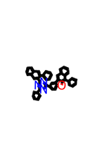 c1ccc(-c2nc(-c3ccc4oc5c(-c6ccccc6)c6ccccc6cc5c4c3)nc(-c3cc4ccccc4cc3-c3ccccc3)n2)cc1